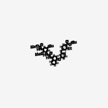 CCC1CN(Cc2cc(Oc3ccc(NC(=O)Nc4cc(C(C)(C)C)cc(NC(=O)OC)c4OC)c4ccccc34)ccn2)CCN1C(=O)OC(C)(C)C